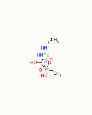 CCCNC1NC2=C(O)[C@@H](O)[C@@H](C(O)CC)O[C@@H]2S1